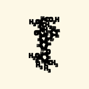 CC(C)(CNC(=O)c1cc2ccc(OC3CC(C)(C)CC(C)(C)C3)cc2c(CC2CCCC2)n1)CC(=O)O